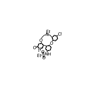 CCN1CCOc2cc(=O)n(C)cc2-c2cc(NS(=O)(=O)CC)ccc2Oc2ccc(Cl)cc2C1